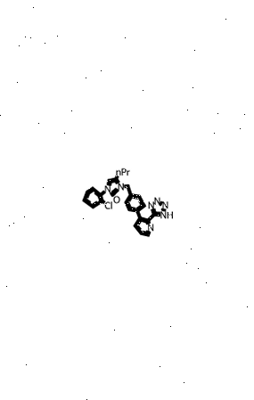 CCCc1cn(-c2ccccc2Cl)c(=O)n1Cc1ccc(-c2cccnc2-c2nnn[nH]2)cc1